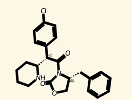 O=C1OC[C@@H](Cc2ccccc2)N1C(=O)[C@@H](c1ccc(Cl)cc1)C1CCCCN1